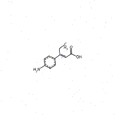 CC/C(=C\C(=O)O)c1ccc(N)cc1